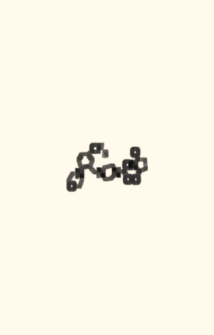 O=C(ON1C(=O)CCC1=O)N1CCN(Cc2cc(C(F)(F)F)ccc2N2CCOCC2)CC1